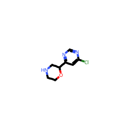 Clc1cc(C2CNCCO2)ncn1